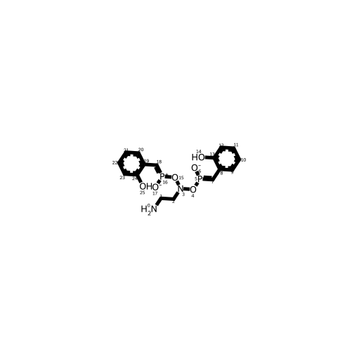 NCCN(O/[P+]([O-])=C/c1ccccc1O)O/[P+]([O-])=C/c1ccccc1O